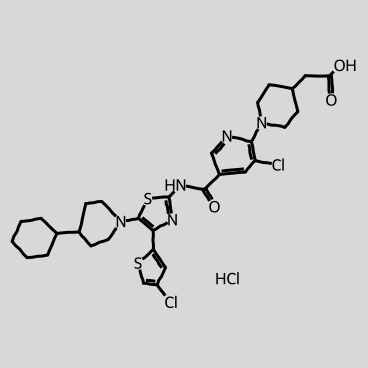 Cl.O=C(O)CC1CCN(c2ncc(C(=O)Nc3nc(-c4cc(Cl)cs4)c(N4CCC(C5CCCCC5)CC4)s3)cc2Cl)CC1